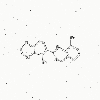 CC(C)c1cccc2cnc(-c3ccc4nccnc4c3C(C)C)nc12